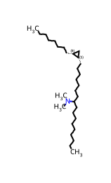 CCCCCCCCCC(CCCCCCC[C@H]1C[C@H]1CCCCCCCC)N(C)C